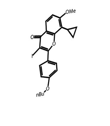 CCCCOc1ccc(-c2oc3c(C4CC4)c(OC)ccc3c(=O)c2I)cc1